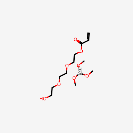 C=CC(=O)OCCOCCOCCO.CO[SiH](OC)OC